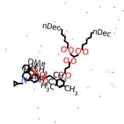 CCCCCCCCCCCCCCCC(=O)OCC(COC(=O)CCCCCCCCCCCCCCC)OC(=O)CCC(=O)Oc1cc(C)cc(C)c1C(C)(C)CC(=O)Oc1ccc2c3c1O[C@H]1[C@]4(OC)CC[C@@]5(C[C@@H]4[C@](C)(O)C(C)(C)C)C(C2)N(CC2CC2)CC[C@]315